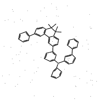 CC1(C)c2ccc(-c3ccccc3)cc2-c2cc(-c3cccc(N(c4ccccc4)c4cccc(-c5ccccc5)c4)c3)ccc2C1(C)C